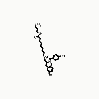 CCCCNC(=O)CCCCCCCCOCC1Cc2cc(O)ccc2CN1C(=O)c1ccc(O)cc1